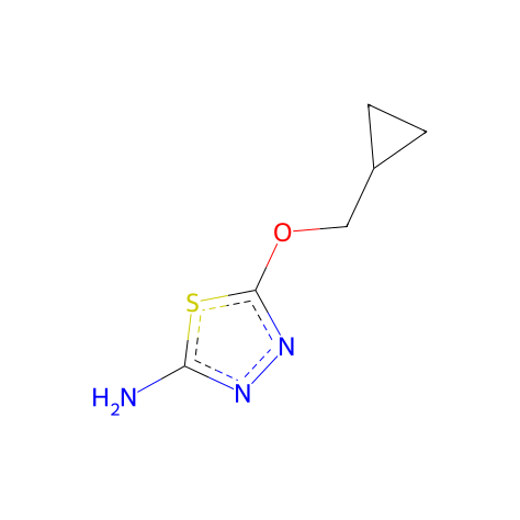 Nc1nnc(OCC2CC2)s1